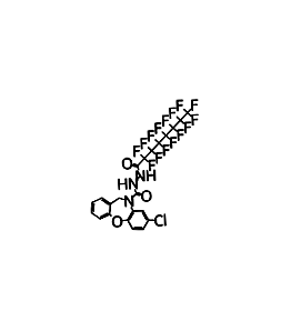 O=C(NNC(=O)C(F)(F)C(F)(F)C(F)(F)C(F)(F)C(F)(F)C(F)(F)C(F)(F)F)N1Cc2ccccc2Oc2ccc(Cl)cc21